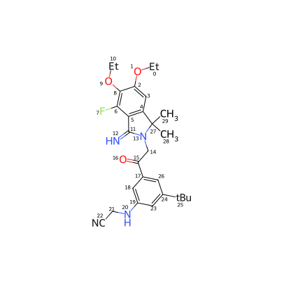 CCOc1cc2c(c(F)c1OCC)C(=N)N(CC(=O)c1cc(NCC#N)cc(C(C)(C)C)c1)C2(C)C